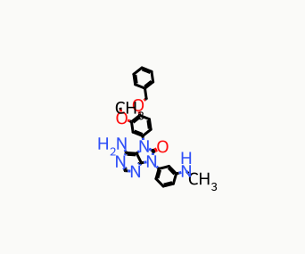 CNc1cccc(-n2c(=O)n(-c3ccc(OCc4ccccc4)c(OC)c3)c3c(N)ncnc32)c1